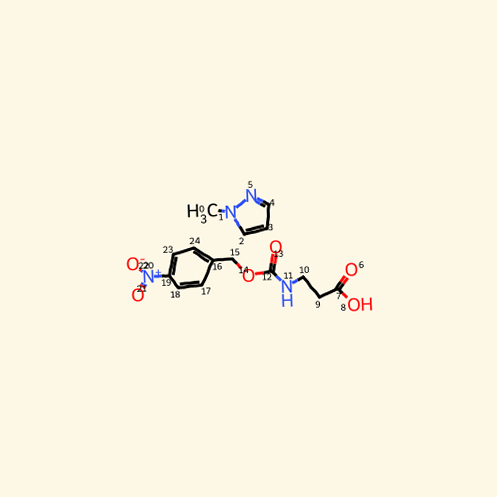 Cn1cccn1.O=C(O)CCNC(=O)OCc1ccc([N+](=O)[O-])cc1